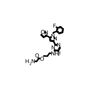 NCC(=O)OCCCNc1nc(-c2cc(-c3ccon3)n(Cc3ccccc3F)n2)ncc1F